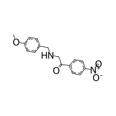 COc1ccc(CNCC(=O)c2ccc([N+](=O)[O-])cc2)cc1